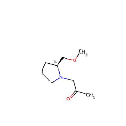 COC[C@@H]1CCCN1CC(C)=O